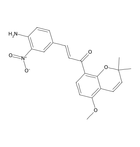 COc1ccc(C(=O)/C=C/c2ccc(N)c([N+](=O)[O-])c2)c2c1C=CC(C)(C)O2